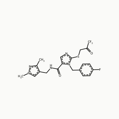 Cc1nn(C)cc1CNC(=O)c1cnc(SCC(=O)C(F)(F)F)n1Cc1ccc(F)cc1